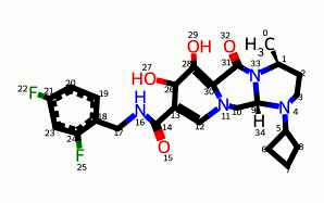 C[C@H]1CCN(C2CCC2)[C@@H]2CN3C=C(C(=O)NCc4ccc(F)cc4F)C(O)C(O)=C3C(=O)N12